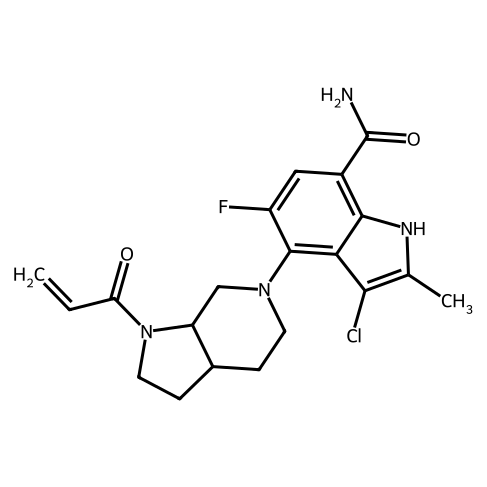 C=CC(=O)N1CCC2CCN(c3c(F)cc(C(N)=O)c4[nH]c(C)c(Cl)c34)CC21